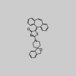 O=C1N=C(N2CCC3(CC2)OCc2ccccc23)SC1=C1c2ccccc2C=Cc2ccccc21